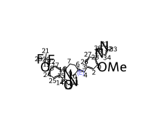 COc1cc(/C=C2\CCCN3C2=NOC3(C)c2ccc(OC(C)(F)F)cc2)ccc1-n1cnc(C)c1